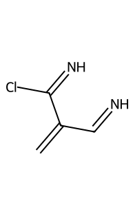 C=C(C=N)C(=N)Cl